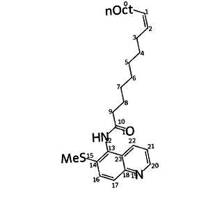 CCCCCCCC/C=C\CCCCCCCC(=O)Nc1c(SC)ccc2ncccc12